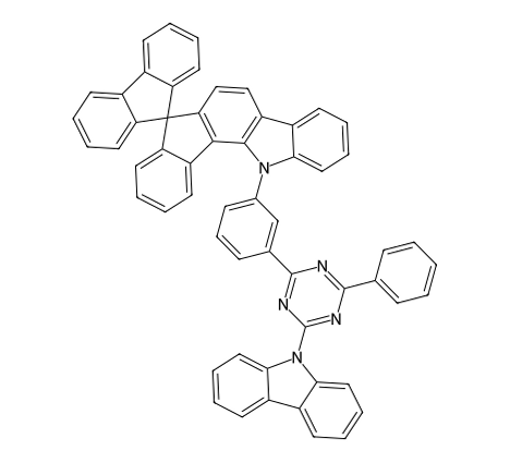 c1ccc(-c2nc(-c3cccc(-n4c5ccccc5c5ccc6c(c54)-c4ccccc4C64c5ccccc5-c5ccccc54)c3)nc(-n3c4ccccc4c4ccccc43)n2)cc1